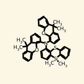 CC1(C)c2ccccc2Oc2c(N(c3cccc4c3Oc3ccccc3C4(C)C)c3cccc4c3Sc3ccccc3[Si]4(C)C)cccc21